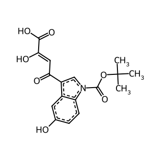 CC(C)(C)OC(=O)n1cc(C(=O)/C=C(\O)C(=O)O)c2cc(O)ccc21